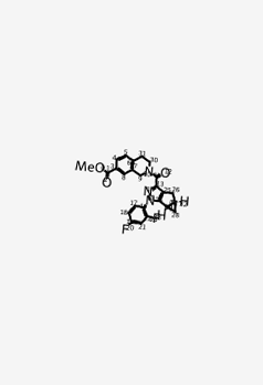 COC(=O)c1ccc2c(c1)CN(C(=O)c1nn(-c3ccc(F)cc3F)c3c1C[C@H]1C[C@@H]31)CC2